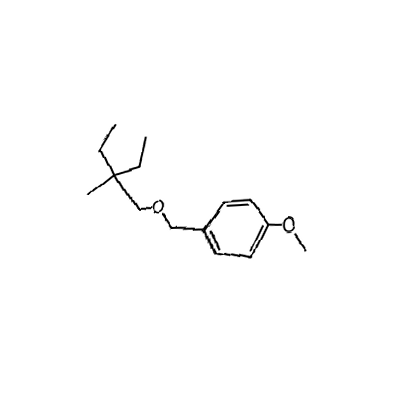 CCC(C)(CC)COCc1ccc(OC)cc1